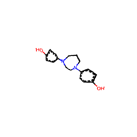 Oc1ccc(N2CCCN(c3ccc(O)cc3)CC2)cc1